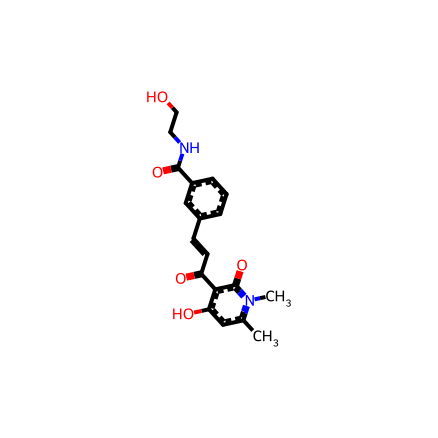 Cc1cc(O)c(C(=O)C=Cc2cccc(C(=O)NCCO)c2)c(=O)n1C